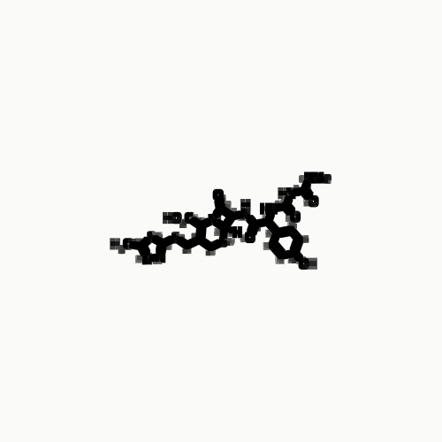 CNC(=O)NC(=O)NC(C(=O)NC1C(=O)N2C(C(=O)O)=C(CSc3nnc(C)s3)CS[C@@H]12)c1ccc(O)cc1